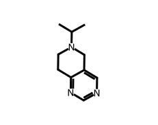 CC(C)N1CCc2ncncc2C1